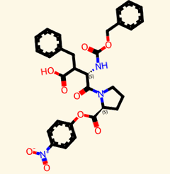 O=C(N[C@H](C(=O)N1CCC[C@H]1C(=O)Oc1ccc([N+](=O)[O-])cc1)C(Cc1ccccc1)C(=O)O)OCc1ccccc1